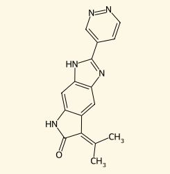 CC(C)=C1C(=O)Nc2cc3[nH]c(-c4ccnnc4)nc3cc21